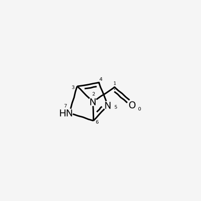 O=[C]n1c2cnc1[nH]2